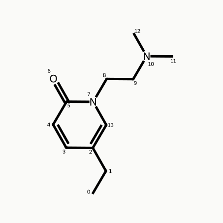 CCc1ccc(=O)n(CCN(C)C)c1